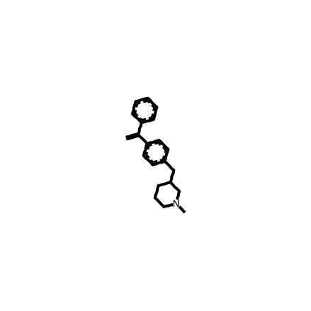 C=C(c1ccccc1)c1ccc(CC2CCCN(C)C2)cc1